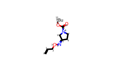 C=CCON=C1CCN(C(=O)OC(C)(C)C)C1